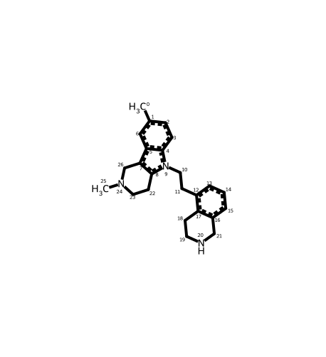 Cc1ccc2c(c1)c1c(n2CCc2cccc3c2CCNC3)CCN(C)C1